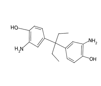 CCC(CC)(c1ccc(O)c(N)c1)c1ccc(O)c(N)c1